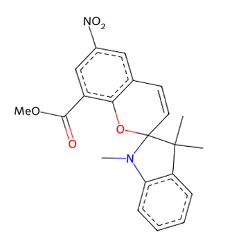 COC(=O)c1cc([N+](=O)[O-])cc2c1OC1(C=C2)N(C)c2ccccc2C1(C)C